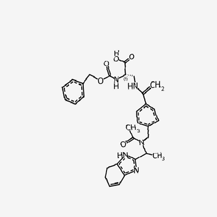 C=C(NC[C@H](NC(=O)OCc1ccccc1)C(=O)O)c1ccc(CN(C(C)=O)C(C)c2nc3c([nH]2)CCC=C3)cc1